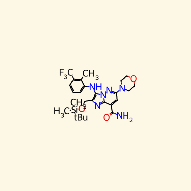 Cc1c(Nc2c(CO[Si](C)(C)C(C)(C)C)nc3c(C(N)=O)cc(N4CCOCC4)nn23)cccc1C(F)(F)F